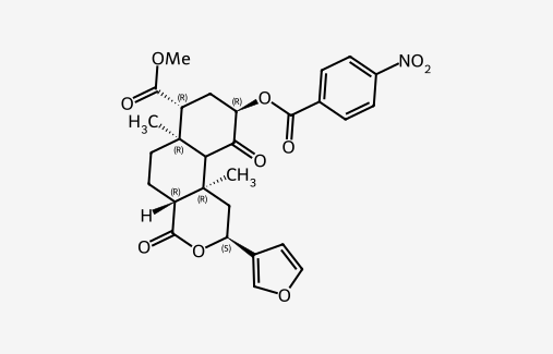 COC(=O)[C@@H]1C[C@@H](OC(=O)c2ccc([N+](=O)[O-])cc2)C(=O)C2[C@@]1(C)CC[C@H]1C(=O)O[C@H](c3ccoc3)C[C@]21C